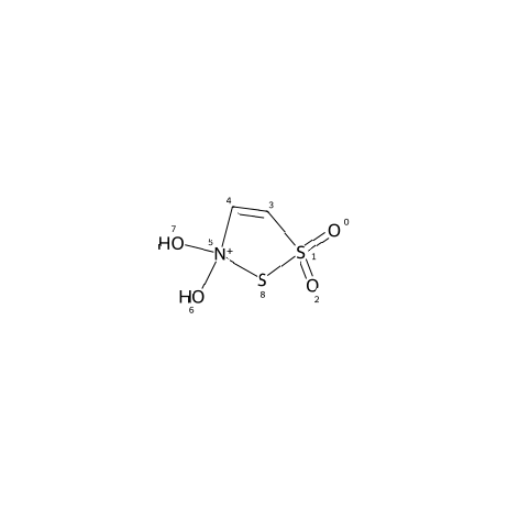 O=S1(=O)C=C[N+](O)(O)S1